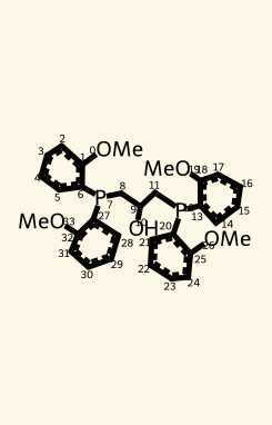 COc1ccccc1P(CC(O)CP(c1ccccc1OC)c1ccccc1OC)c1ccccc1OC